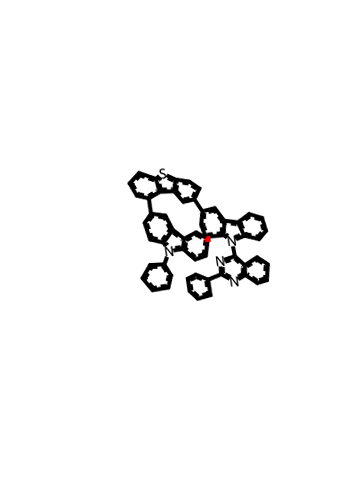 c1ccc(-c2nc(-n3c4ccccc4c4cc(-c5ccc6sc7cccc(-c8ccc9c(c8)c8ccccc8n9-c8ccccc8)c7c6c5)ccc43)c3ccccc3n2)cc1